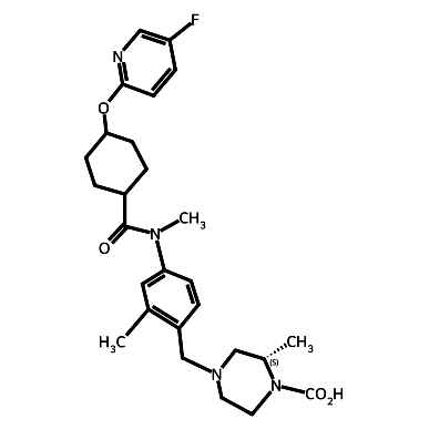 Cc1cc(N(C)C(=O)C2CCC(Oc3ccc(F)cn3)CC2)ccc1CN1CCN(C(=O)O)[C@@H](C)C1